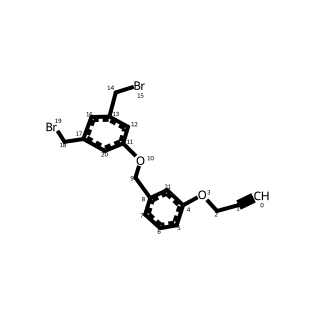 C#CCOc1cccc(COc2cc(CBr)cc(CBr)c2)c1